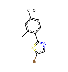 Cc1cc(C=O)ccc1-c1ncc(Br)s1